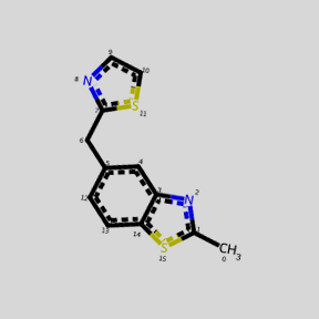 Cc1nc2cc(Cc3nccs3)ccc2s1